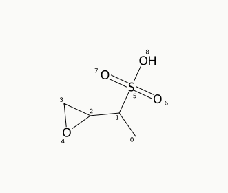 CC(C1CO1)S(=O)(=O)O